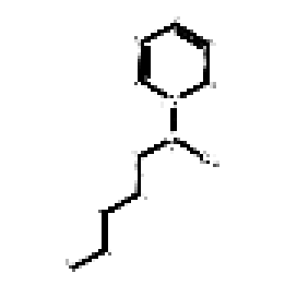 CCCCC[S+]([O-])N1C=CC=CC1